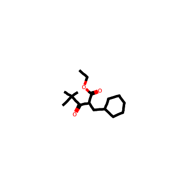 CCOC(=O)C(CC1CCCCC1)C(=O)C(C)(C)C